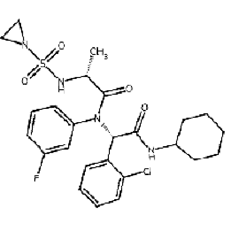 C[C@@H](NS(=O)(=O)N1CC1)C(=O)N(c1cccc(F)c1)[C@H](C(=O)NC1CCCCC1)c1ccccc1Cl